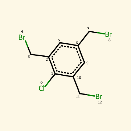 Clc1c(CBr)cc(CBr)cc1CBr